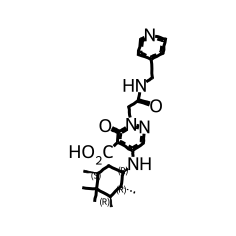 C[C@@H]1[C@@H](C)C(C)(C)[C@@H](C)C[C@H]1Nc1cnn(CC(=O)NCc2ccncc2)c(=O)c1C(=O)O